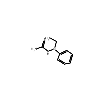 NCN(NC(N)=S)c1ccccc1